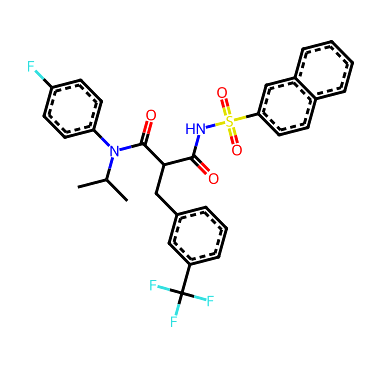 CC(C)N(C(=O)C(Cc1cccc(C(F)(F)F)c1)C(=O)NS(=O)(=O)c1ccc2ccccc2c1)c1ccc(F)cc1